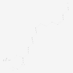 CC/C=C/C=C\CC/C=C\CCCCCC(OCCCCCCCCCC)OCCCCCCCCCC